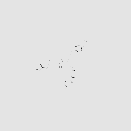 COc1cc(C(=O)N2CC3CN(C(=O)Cc4c[nH]c5cc(Cl)ccc45)CC(C(=O)N[C@@H]4CCCN(Cc5ccccc5)C4)C3C2)ccc1OC(C)C